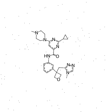 CN1CCN(c2cc(C(=O)Nc3cccc(C4(Cc5nncn5C)COC4)c3)nc(C3CC3)n2)CC1